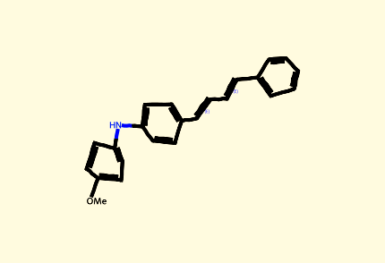 COc1ccc(Nc2ccc(/C=C/C=C/c3ccccc3)cc2)cc1